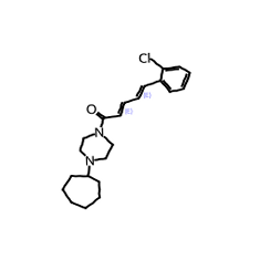 O=C(/C=C/C=C/c1ccccc1Cl)N1CCN(C2CCCCCC2)CC1